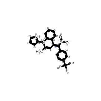 CC1=C/C(=C(\c2ccc(C(F)(F)F)cc2)[N+](=O)[O-])c2ccccc2N1c1ccc[nH]1